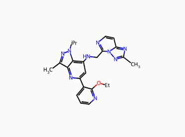 CCOc1ncccc1-c1cc(NCc2nccc3nc(C)nn23)c2c(n1)c(C)nn2C(C)C